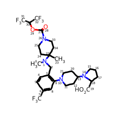 CN(Cc1ccc(C(F)(F)F)cc1N1CCC(N2CCCC2C(=O)O)CC1)C1(C)CCN(C(=O)OC(C(F)(F)F)C(F)(F)F)CC1